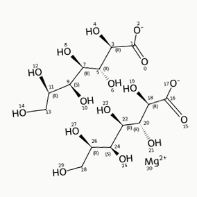 O=C([O-])[C@H](O)[C@H](O)[C@H](O)[C@@H](O)[C@H](O)CO.O=C([O-])[C@H](O)[C@H](O)[C@H](O)[C@@H](O)[C@H](O)CO.[Mg+2]